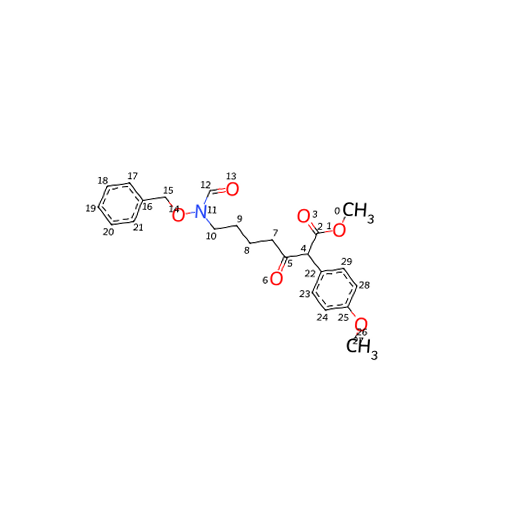 COC(=O)C(C(=O)CCCCN(C=O)OCc1ccccc1)c1ccc(OC)cc1